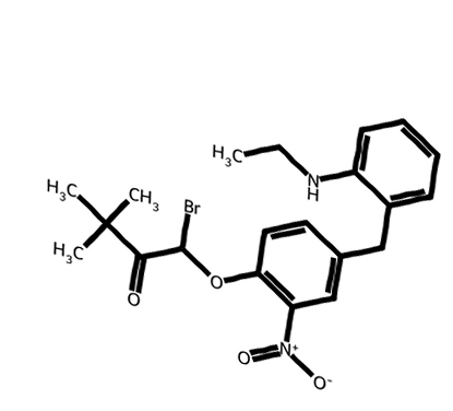 CCNc1ccccc1Cc1ccc(OC(Br)C(=O)C(C)(C)C)c([N+](=O)[O-])c1